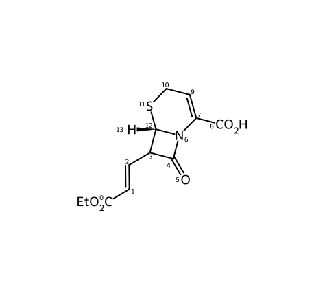 CCOC(=O)/C=C/C1C(=O)N2C(C(=O)O)=CCS[C@@H]12